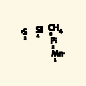 C.[Mn].[P].[S].[Si]